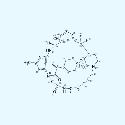 Cc1nc2c3cc(C4CCS(=O)(=O)CC4)c(=O)n(c3n1)CC(=O)NCCCCCN1CCC(CC1)C(F)(F)c1cccc(c1)[C@@H](C)N2